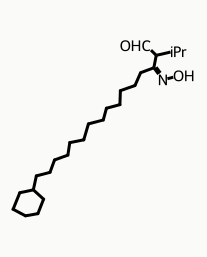 CC(C)C(C=O)C(CCCCCCCCCCCCCC1CCCCC1)=NO